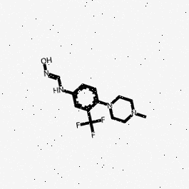 CN1CCN(c2ccc(N/C=N/O)cc2C(F)(F)F)CC1